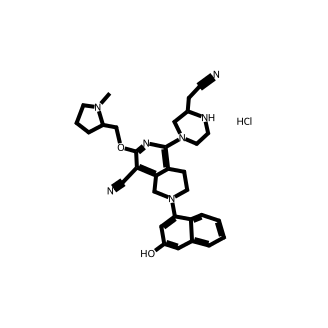 CN1CCCC1COc1nc(N2CCNC(CC#N)C2)c2c(c1C#N)CN(c1cc(O)cc3ccccc13)CC2.Cl